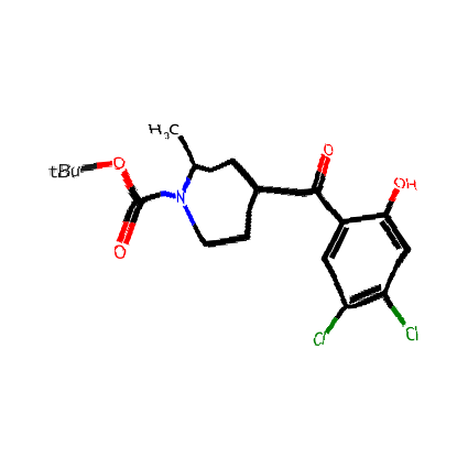 CC1CC(C(=O)c2cc(Cl)c(Cl)cc2O)CCN1C(=O)OC(C)(C)C